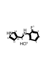 Cl.Fc1ccccc1NCc1cc[nH]c1